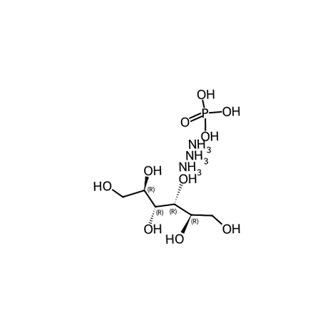 N.N.N.O=P(O)(O)O.OC[C@@H](O)[C@@H](O)[C@H](O)[C@H](O)CO